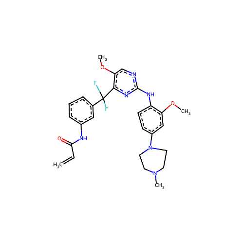 C=CC(=O)Nc1cccc(C(F)(F)c2nc(Nc3ccc(N4CCN(C)CC4)cc3OC)ncc2OC)c1